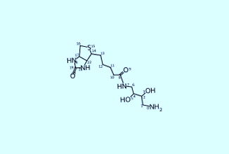 NCC(O)C(O)CNC(=O)CCCCC1SCC2NC(=O)NC21